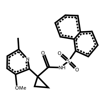 COc1ccc(C)nc1C1(C(=O)NS(=O)(=O)c2cccc3ccccc23)CC1